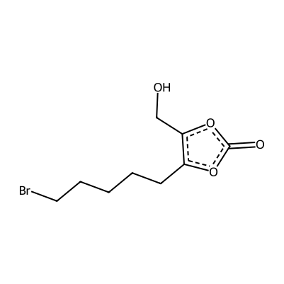 O=c1oc(CO)c(CCCCCBr)o1